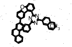 CC12C=CC=CC1=CC(c1nc(-c3ccccc3)nc(-c3cccc4oc5ccc(-c6ccc7c(ccc8ccccc87)c6)cc5c34)n1)=CC2